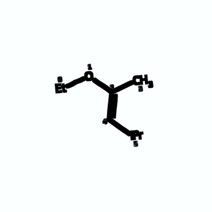 CCOC(C)=CC(C)C